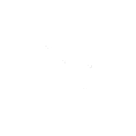 NC(=S)N1CCNC(=O)C1